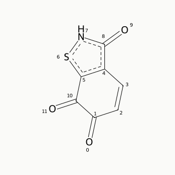 O=C1C=Cc2c(s[nH]c2=O)C1=O